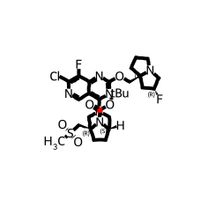 CC(C)(C)OC(=O)N1[C@H]2CC[C@]1(CS(C)(=O)=O)CN(c1nc(OC[C@@]34CCCN3C[C@H](F)C4)nc3c(F)c(Cl)ncc13)C2